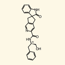 O=C(N[C@@H](CO)Cc1ccccc1)c1cc2c(cn1)CC1(C2)C(=O)Nc2ccccc21